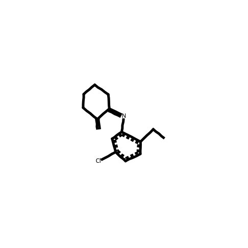 C=C1CCCC/C1=N/c1cc(Cl)ccc1CC